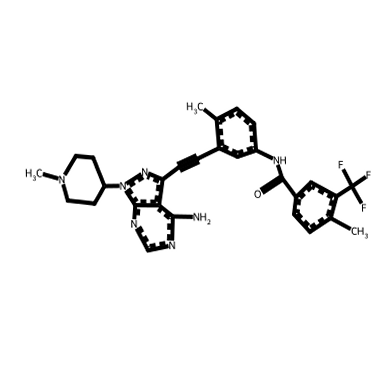 Cc1ccc(NC(=O)c2ccc(C)c(C(F)(F)F)c2)cc1C#Cc1nn(C2CCN(C)CC2)c2ncnc(N)c12